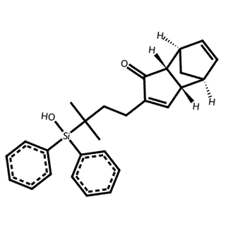 CC(C)(CCC1=C[C@@H]2[C@H](C1=O)[C@H]1C=C[C@@H]2C1)[Si](O)(c1ccccc1)c1ccccc1